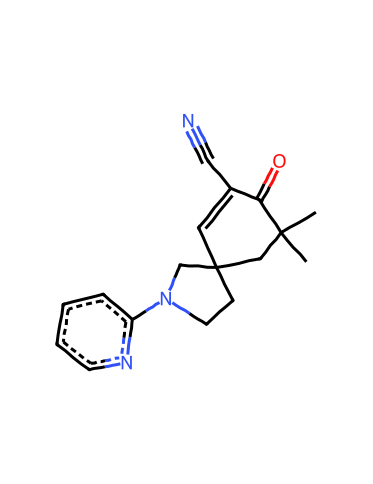 CC1(C)CC2(C=C(C#N)C1=O)CCN(c1ccccn1)C2